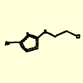 CC(=O)c1ccc(SCCCl)s1